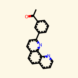 CC(=O)c1cccc(-c2ccc3ccc4cccnc4c3n2)c1